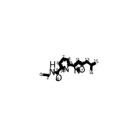 CCNC(=O)c1cccc(-c2cc(CC(C)C)on2)n1